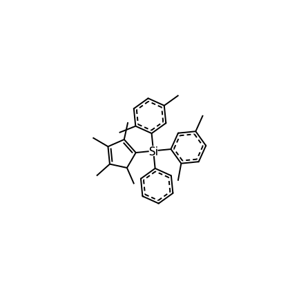 CC1=C(C)C(C)C([Si](c2ccccc2)(c2cc(C)ccc2C)c2cc(C)ccc2C)=C1C